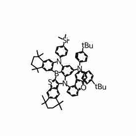 CC(C)(C)c1c#cc(N(c2ccc(C(C)(C)C)cc2)c2cc3c4c(c2)N(c2cccc5oc6ccccc6c25)c2c(sc5cc6c(cc25)C(C)(C)CCC6(C)C)B4c2cc4c(cc2N3c2ccc([Si](C)(C)C)cc2)C(C)(C)CCC4(C)C)cc1